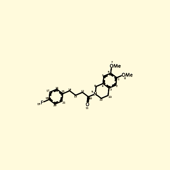 COc1cc2c(cc1OC)CN(C(=O)CCCc1ccc(F)cc1)CC2